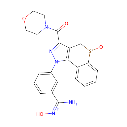 N/C(=N/O)c1cccc(-n2nc(C(=O)N3CCOCC3)c3c2-c2ccccc2[S+]([O-])C3)c1